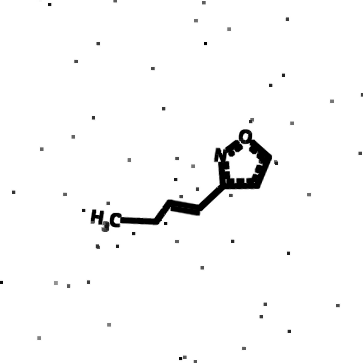 CCC=Cc1ccon1